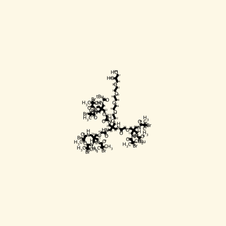 CC(C)(C)C(=O)NCC(CNC(=O)C(C)(C)Br)(CNC(=O)C(C)(C)Br)COCC(=O)NCC(CNC(=O)COCC(CNC(=O)C(C)(C)C)(CNC(=O)C(C)(C)Br)CNC(=O)C(C)(C)Br)(CNC(=O)COCC1(CNC(=O)C(C)(C)Br)CNC(=O)C(C)(Br)OC(C(C)(C)Br)NC1)COCCOCCOCCOCCOCC(O)CO